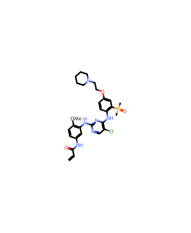 C=CC(=O)Nc1ccc(OC)c(Nc2ncc(Cl)c(Nc3ccc(OCCN4CCCCC4)cc3P(C)(C)=O)n2)c1